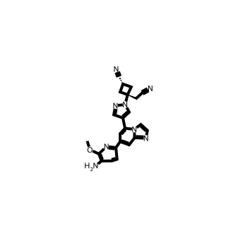 COc1nc(-c2cc(-c3cnn([C@]4(CC#N)C[C@H](C#N)C4)c3)n3ccnc3c2)ccc1N